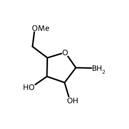 BC1OC(COC)C(O)C1O